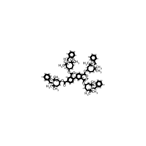 CC1(C)CCC(OC(=O)c2ccc(-c3ccc(C(=O)OC4CCC(C)(C)N(Cc5ccccc5)C(C)(C)C4)c(C(=O)OC4CCC(C)(C)N(Cc5ccccc5)C(C)(C)C4)c3)c(C(=O)OC3CCC(C)(C)N(Cc4ccccc4)C(C)(C)C3)c2)CC(C)(C)N1Cc1ccccc1